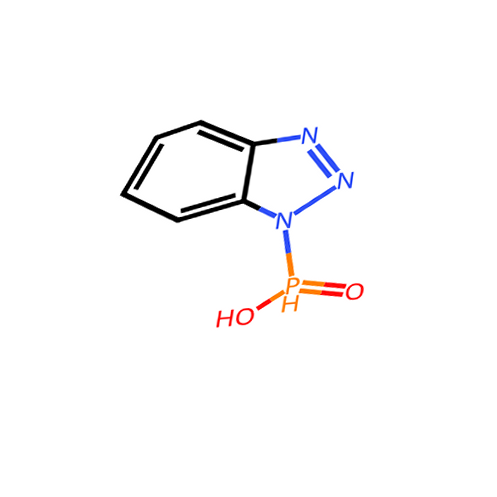 O=[PH](O)n1nnc2ccccc21